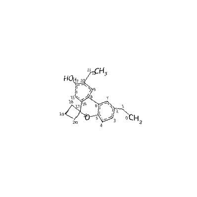 CCc1ccc2c(c1)-c1cc(CC)c(O)cc1C1(CCC1)O2